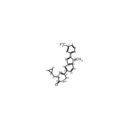 Cn1c(-c2cccc(C(F)(F)F)c2)nc2cc(C3=NN(CC4CC4)C(=O)SC3)ccc21